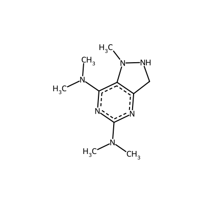 CN(C)c1nc2c(c(N(C)C)n1)N(C)NC2